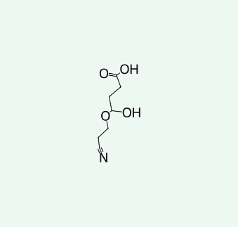 N#CCCOC(O)CCC(=O)O